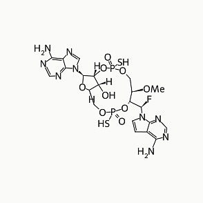 CO[C@@H]1COP(=O)(S)O[C@@H]2[C@H](O)[C@@H](COP(=O)(S)O[C@H]1[C@@H](F)n1ccc3c(N)ncnc31)O[C@H]2n1cnc2c(N)ncnc21